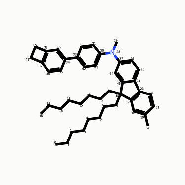 CCCCCCCCC1(CCCCCCCC)c2cc(C)ccc2-c2ccc(N(C)c3ccc(-c4ccc5c(c4)CC5)cc3)cc21